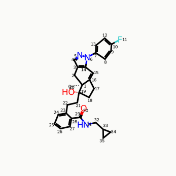 C[C@]12Cc3cnn(-c4ccc(F)cc4)c3C=C1CC[C@@]2(O)CCc1ccccc1C(=O)NCC1CC1